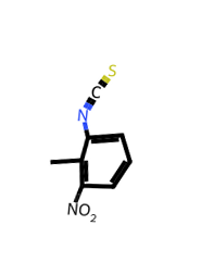 Cc1c(N=C=S)cccc1[N+](=O)[O-]